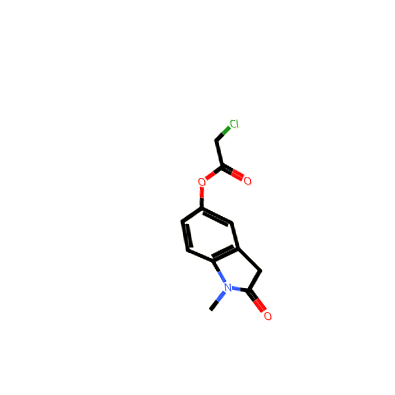 CN1C(=O)Cc2cc(OC(=O)CCl)ccc21